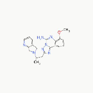 COc1cccc2c1nc(N)n1nc(CC(C)N3Cc4cccnc4C3)nc21